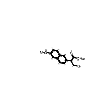 COC(=O)C(CCl)c1ccc2cc(SC)ccc2c1